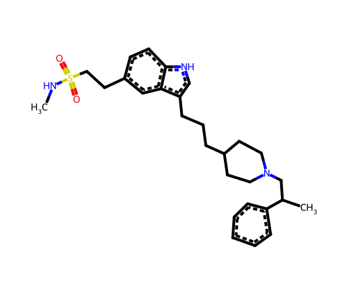 CNS(=O)(=O)CCc1ccc2[nH]cc(CCCC3CCN(CC(C)c4ccccc4)CC3)c2c1